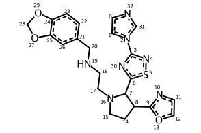 c1cn(-c2nsc(C3C(c4ncco4)CCN3CCNCc3ccc4c(c3)OCO4)n2)cn1